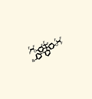 FC(F)=C(F)Oc1ccc(C(c2ccc(OC(F)=C(F)F)cc2)(c2ccccc2Sc2ccc(Br)cc2)C(F)(F)F)cc1